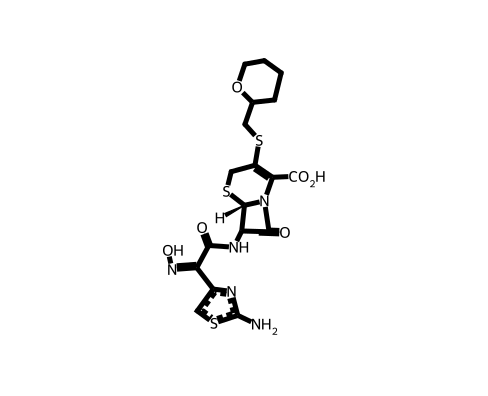 Nc1nc(/C(=N/O)C(=O)NC2C(=O)N3C(C(=O)O)=C(SCC4CCCCO4)CS[C@@H]23)cs1